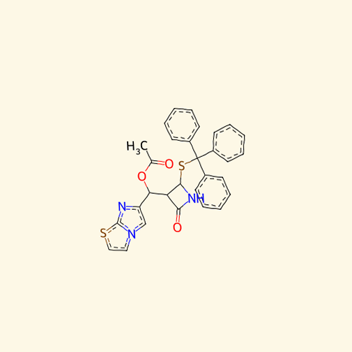 CC(=O)OC(c1cn2ccsc2n1)C1C(=O)NC1SC(c1ccccc1)(c1ccccc1)c1ccccc1